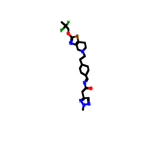 Cn1ncc(CC(=O)/N=C/C2CCC(CCN3CCc4sc(OCC(C)(F)F)nc4C3)CC2)n1